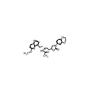 COc1ccc2nccc(CC[C@H](CCC3CN(c4ccc5c(c4)OCCO5)C(=O)O3)NC(C)=O)c2n1